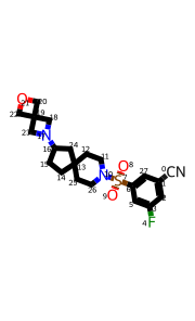 N#Cc1cc(F)cc(S(=O)(=O)N2CCC3(CCC(N4CC5(COC5)C4)C3)CC2)c1